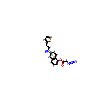 [N-]=[N+]=NCC(=O)Oc1cccc2c1CC[C@H](NCCc1cccs1)C2